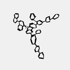 c1ccc(-c2ccc(-c3ccc(-c4ccc5c(c4)c4cc(-c6ccc(-c7ccc(-c8ccccc8)cc7)cc6-c6ccccc6)ccc4n5-c4ccc(-c5cccc6ccccc56)c5ccccc45)c(-c4ccccc4)c3)cc2)cc1